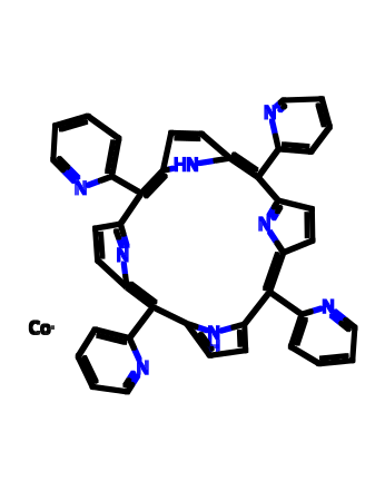 C1=Cc2nc1c(-c1ccccn1)c1ccc([nH]1)c(-c1ccccn1)c1nc(c(-c3ccccn3)c3ccc([nH]3)c2-c2ccccn2)C=C1.[Co]